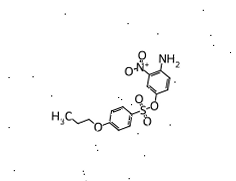 CCCOc1ccc(S(=O)(=O)Oc2ccc(N)c([N+](=O)[O-])c2)cc1